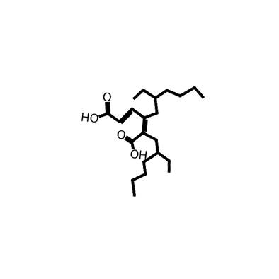 CCCCC(CC)CC(C=CC(=O)O)=C(CC(CC)CCCC)C(=O)O